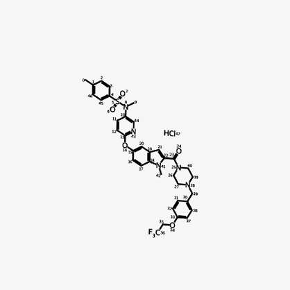 Cc1ccc(S(=O)(=O)N(C)c2ccc(Oc3ccc4c(c3)cc(C(=O)N3CCN(Cc5ccc(OCC(F)(F)F)cc5)CC3)n4C)nc2)cc1.Cl